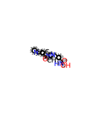 C[C@@H]1CN(Cc2ccc(C(=O)NO)cc2)C[C@H](C)N1C(=O)c1cccc(CN2CCCCC2)c1